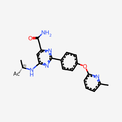 CC(=O)[C@H](C)Nc1cc(C(N)=O)nc(-c2ccc(Oc3cccc(C)n3)cc2)n1